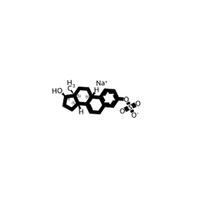 C[C@]12CC[C@H]3C(=CCc4cc(OS(=O)(=O)[O-])ccc43)[C@@H]1CC[C@H]2O.[Na+]